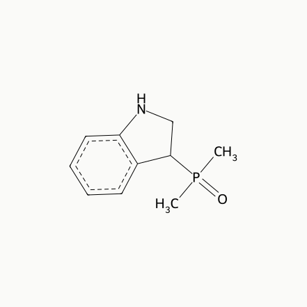 CP(C)(=O)C1CNc2ccccc21